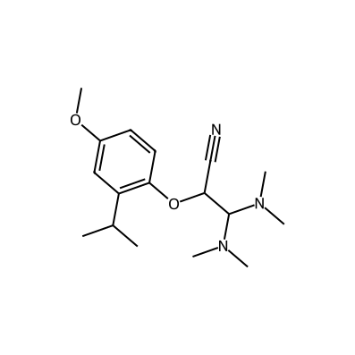 COc1ccc(OC(C#N)C(N(C)C)N(C)C)c(C(C)C)c1